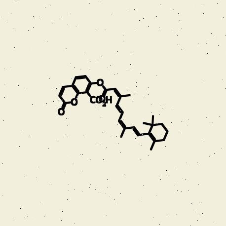 CC(C=CC1=C(C)CCCC1(C)C)=CC=CC(C)=CC(=O)Oc1ccc2ccc(=O)oc2c1C(=O)O